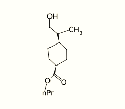 CCCOC(=O)[C@H]1CC[C@@H](C(C)CO)CC1